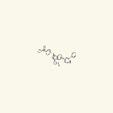 Cc1nn(CC23CCC(NC4CCC4)(CC2)C3)c2c1CN(c1ccnc(-c3ccccc3)c1)CC2